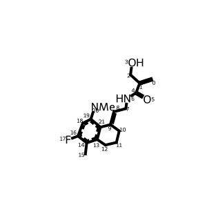 C=C(CO)C(=O)NC/C=C1\CCCc2c(C)c(F)cc(NC)c21